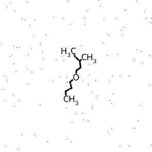 CCC[CH]OCCC(C)CC